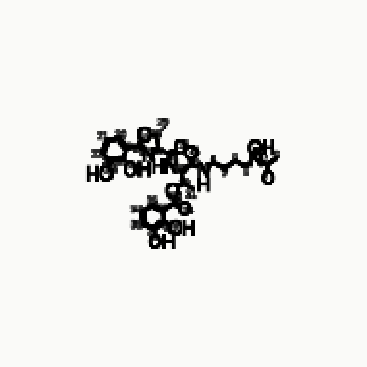 CC(=O)N(O)CCCCNC(=O)[C@@H](NC(=O)[C@H]1N=C(c2cccc(O)c2O)O[C@@H]1C)[C@@H](C)OC(=O)c1cccc(O)c1O